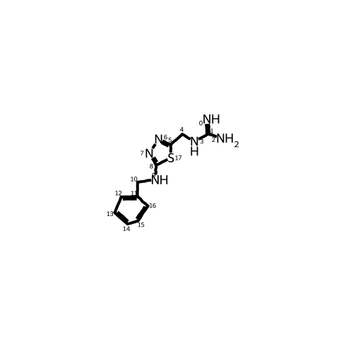 N=C(N)NCc1nnc(NCc2ccccc2)s1